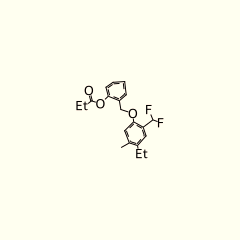 CCC(=O)Oc1ccccc1COc1cc(C)c(CC)cc1C(F)F